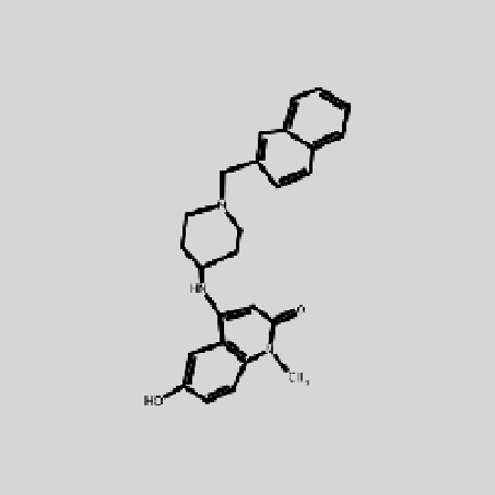 Cn1c(=O)cc(NC2CCN(Cc3ccc4ccccc4c3)CC2)c2cc(O)ccc21